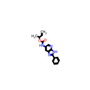 C=CC(C)OC(=O)Nc1cnc2[nH]c(-c3ccccc3)nc2c1